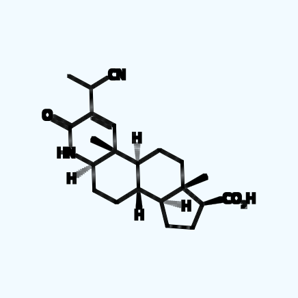 CC(C#N)C1=C[C@@]2(C)[C@@H](CC[C@@H]3[C@@H]2CC[C@]2(C)[C@@H](C(=O)O)CC[C@@H]32)NC1=O